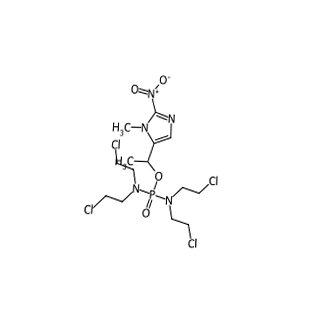 CC(OP(=O)(N(CCCl)CCCl)N(CCCl)CCCl)c1cnc([N+](=O)[O-])n1C